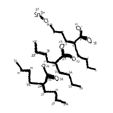 CCCCC(CCCC)C(=O)[O-].CCCCC(CCCC)C(=O)[O-].CCCCC(CCCC)C(=O)[O-].[Cl][Sn+3]